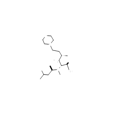 CC(C)CC(=O)N(C)[C@H](C(N)=O)[C@H](O)[C@H](C)CCN1CCOCC1